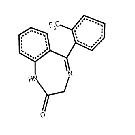 O=C1CN=C(c2ccccc2C(F)(F)F)c2ccccc2N1